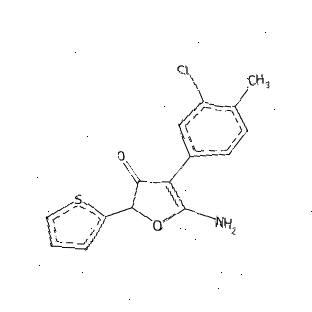 Cc1ccc(C2=C(N)OC(c3cccs3)C2=O)cc1Cl